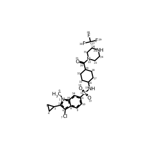 Cn1c(C2CC2)c(Cl)c2ccc(S(=O)(=O)NC3CCC(C(=O)N4CCN[C@@H](C(F)(F)F)C4)CC3)cc21